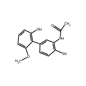 COc1cccc(O)c1-c1ccc(S)c(NC(C)=O)c1